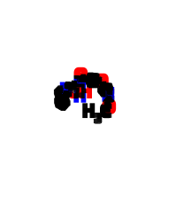 COCCN1CCC(Oc2ccc(C(=O)NC[C@H](O)CN3CCc4ccccc4C3)cc2)CC1